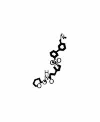 CN(C)Cc1cccc(-c2cccc(S(=O)(=O)n3ccc(C=CC(=O)NOC4CCCCO4)c3)c2)c1